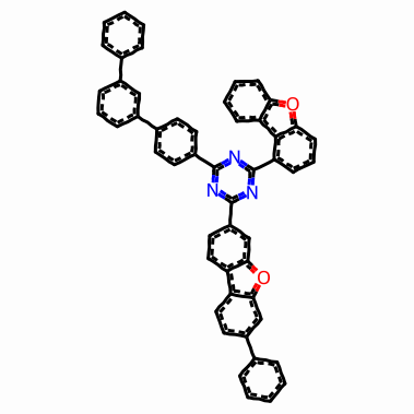 c1ccc(-c2cccc(-c3ccc(-c4nc(-c5ccc6c(c5)oc5cc(-c7ccccc7)ccc56)nc(-c5cccc6oc7ccccc7c56)n4)cc3)c2)cc1